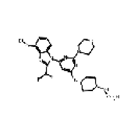 CCOc1cccc2c1nc(C(F)F)n2-c1cc(O[C@H]2CC[C@H](NC(=O)O)CC2)nc(N2CCOCC2)n1